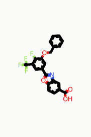 O=C(O)c1ccc2oc(-c3cc(OCc4ccccc4)c(F)c(C(F)(F)F)c3)nc2c1